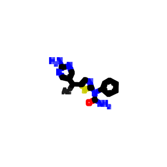 CC(=O)C(c1cnc(N)nc1)c1cnc(N(C(N)=O)c2ccccc2)s1